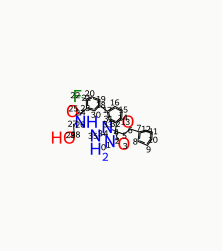 CN1C(=O)C2(CC(c3ccccc3)Oc3ccc(-c4ccc(F)c(C(=O)NCCO)c4)cc32)N=C1N